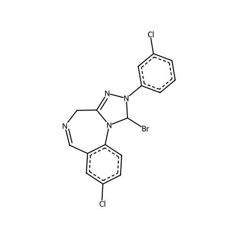 Clc1cccc(N2N=C3CN=Cc4cc(Cl)ccc4N3C2Br)c1